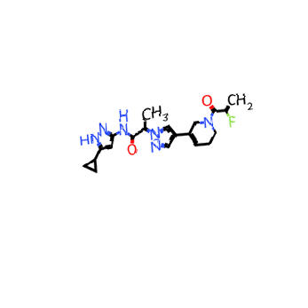 C=C(F)C(=O)N1CCC=C(c2cnn(C(C)C(=O)Nc3cc(C4CC4)[nH]n3)c2)C1